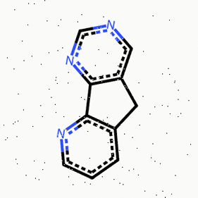 c1cnc2c(c1)Cc1cncnc1-2